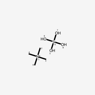 C[N+](C)(C)C.O[Si](O)(O)O